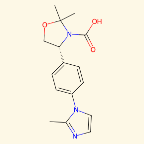 Cc1nccn1-c1ccc([C@@H]2COC(C)(C)N2C(=O)O)cc1